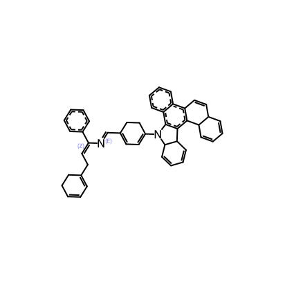 C1=CCCC(C/C=C(\N=C\C2=CC=C(N3c4c(c5c(c6ccccc46)C=CC4C=CC=CC54)C4C=CC=CC43)CC2)c2ccccc2)=C1